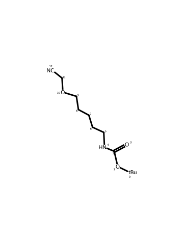 CC(C)(C)OC(=O)NCCCCCOCC#N